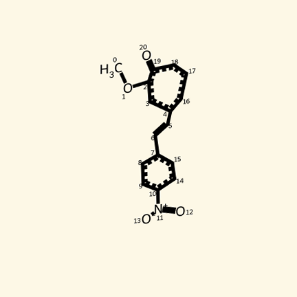 COc1cc(C=Cc2ccc([N+](=O)[O-])cc2)cccc1=O